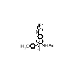 CC(=O)NC(Cc1ccc(NC(=O)CC(C)C)cc1)C(=O)Nc1ccc(C)cc1